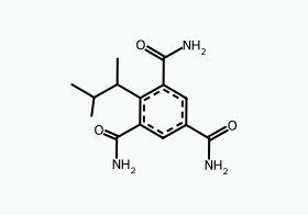 CC(C)C(C)c1c(C(N)=O)cc(C(N)=O)cc1C(N)=O